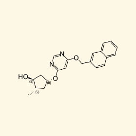 [CH2][C@H]1C[C@@H](Oc2cc(OCc3ccc4ccccc4c3)ncn2)C[C@@H]1O